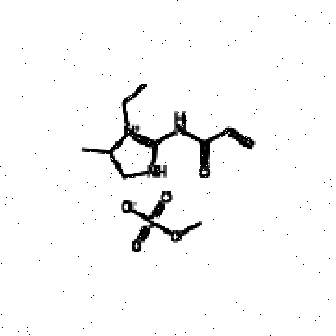 C=CC(=O)NC1=[N+](CC)C(C)CN1.COS(=O)(=O)[O-]